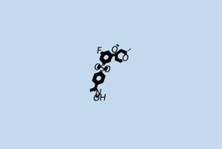 CO[C@]1(c2cc(F)cc(S(=O)(=O)c3ccc(C(C)=NO)cc3)c2)CCO[C@@H](C)C1